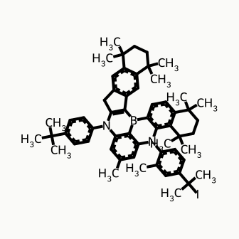 Cc1cc2c3c(c1)N(c1ccc(C(C)(C)I)cc1C)c1c(ccc4c1C(C)(C)CCC4(C)C)B3C1=C(Cc3cc4c(cc31)C(C)(C)CCC4(C)C)N2c1ccc(C(C)(C)C)cc1